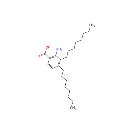 CCCCCCCCc1ccc(C(=O)O)c(N)c1CCCCCCCC